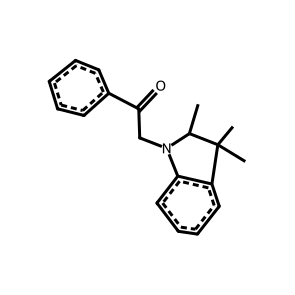 CC1N(CC(=O)c2ccccc2)c2ccccc2C1(C)C